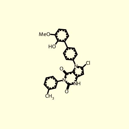 COc1cccc(-c2ccc(-n3c(Cl)cc4[nH]c(=O)n(-c5cccc(C)c5)c(=O)c43)cc2)c1O